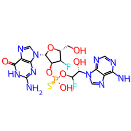 Nc1nc2c(ncn2[C@@H]2O[C@H](CO)[C@@H](F)[C@H]2OP(O)(=S)OC(F)[C@H](O)n2cnc3c(N)ncnc32)c(=O)[nH]1